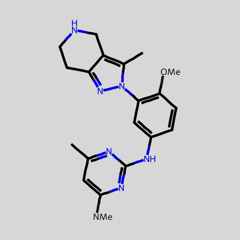 CNc1cc(C)nc(Nc2ccc(OC)c(-n3nc4c(c3C)CNCC4)c2)n1